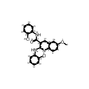 COc1ccc2nc(Nc3ccccc3Cl)c(C(=O)Nc3ccccc3Cl)cc2c1